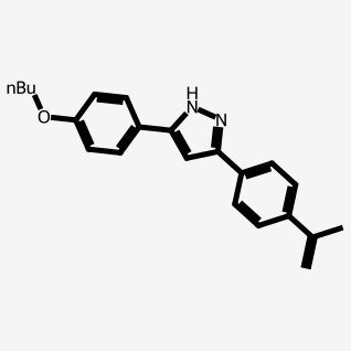 C=C(C)c1ccc(-c2cc(-c3ccc(OCCCC)cc3)[nH]n2)cc1